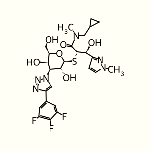 CN(CC1CC1)C(=O)[C@@H](S[C@@H]1O[C@H](CO)[C@H](O)[C@H](n2cc(-c3cc(F)c(F)c(F)c3)nn2)[C@H]1O)[C@@H](O)c1ccn(C)n1